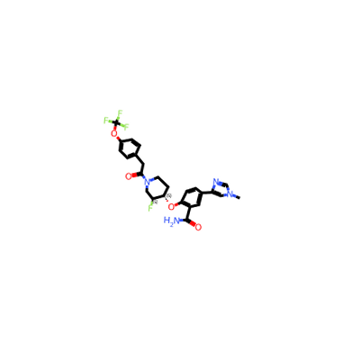 Cn1cnc(-c2ccc(O[C@H]3CCN(C(=O)Cc4ccc(OC(F)(F)F)cc4)C[C@@H]3F)c(C(N)=O)c2)c1